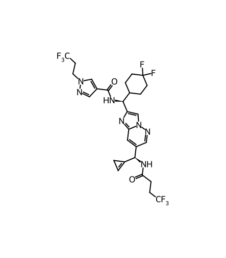 O=C(CCC(F)(F)F)N[C@@H](C1=CC1)c1cnn2cc([C@@H](NC(=O)c3cnn(CCC(F)(F)F)c3)C3CCC(F)(F)CC3)nc2c1